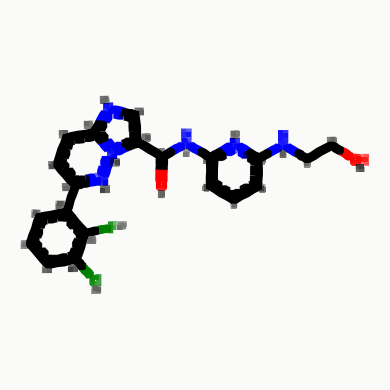 O=C(Nc1cccc(NCCO)n1)c1cnc2ccc(-c3cccc(Cl)c3F)nn12